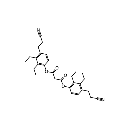 CCc1c(CCC#N)ccc(OC(=O)CC(=O)Oc2ccc(CCC#N)c(CC)c2CC)c1CC